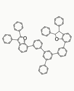 c1ccc(-c2cc(-c3cccc(-c4cccc5c4OC(c4ccccc4)C5c4ccccc4)c3)cc(-c3cccc(-c4cccc5c(-c6ccccc6)c(-c6ccccc6)oc45)c3)c2)cc1